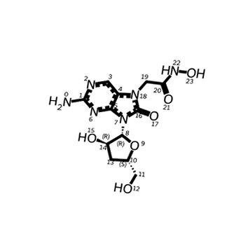 Nc1ncc2c(n1)n([C@@H]1O[C@H](CO)C[C@H]1O)c(=O)n2CC(=O)NO